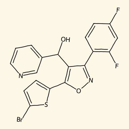 OC(c1cccnc1)c1c(-c2ccc(F)cc2F)noc1-c1ccc(Br)s1